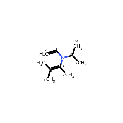 C=CN(C(C)=C(C)C)C(C)C